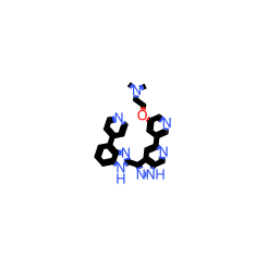 CN(C)CCOc1cncc(-c2cc3c(-c4nc5c(-c6ccncc6)cccc5[nH]4)n[nH]c3cn2)c1